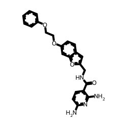 Nc1ccc(C(=O)NCc2cc3ccc(OCCOc4ccccc4)cc3o2)c(N)n1